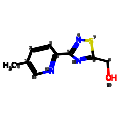 Cc1ccc(-c2nsc(CO)n2)nc1